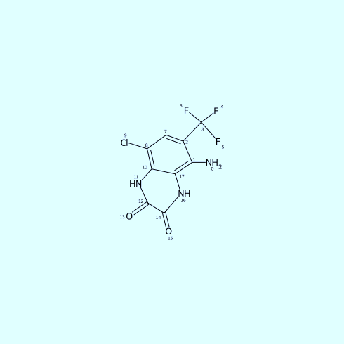 Nc1c(C(F)(F)F)cc(Cl)c2[nH]c(=O)c(=O)[nH]c12